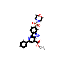 COC(=O)c1cc(-c2ccccc2)nc2c1[nH]c1cc(S(=O)(=O)N3CCOCC3)ccc12